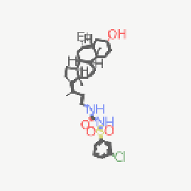 CC[C@H]1C[C@@H]2[C@H](CC[C@]3(C)[C@@H]([C@H](C)CCNC(=O)NS(=O)(=O)c4cccc(Cl)c4)CC[C@@H]23)[C@@]2(C)CC[C@@H](O)C[C@@H]12